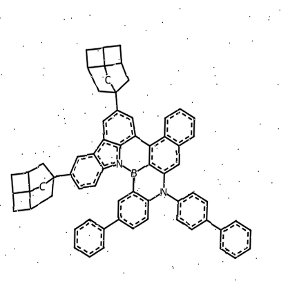 c1ccc(-c2ccc(N3c4ccc(-c5ccccc5)cc4B4c5c3cc3ccccc3c5-c3cc(C56CC7CC8CC(C5)C87C6)cc5c6cc(C78CC9CC%10CC(C7)C%109C8)ccc6n4c35)cc2)cc1